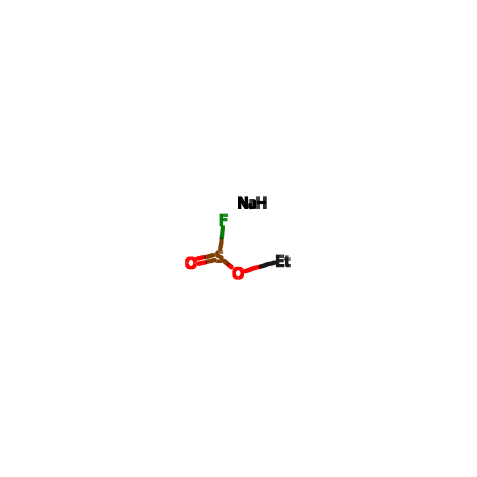 CCOS(=O)F.[NaH]